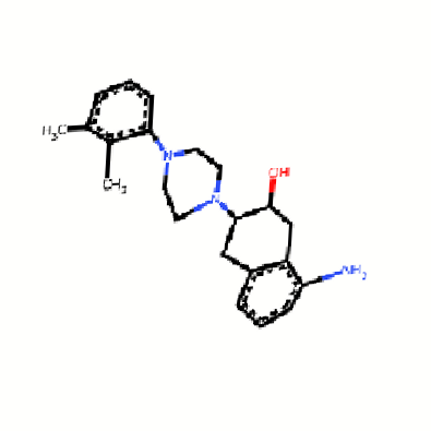 Cc1cccc(N2CCN(C3Cc4cccc(N)c4CC3O)CC2)c1C